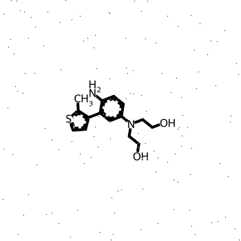 Cc1sccc1-c1cc(N(CCO)CCO)ccc1N